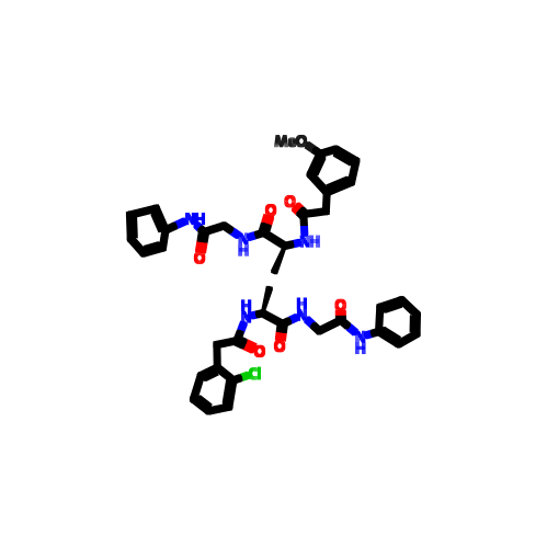 COc1cccc(CC(=O)N[C@@H](C)C(=O)NCC(=O)Nc2ccccc2)c1.C[C@H](NC(=O)Cc1ccccc1Cl)C(=O)NCC(=O)Nc1ccccc1